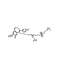 O=S(=O)(CCCCN(CCO)CCCCCCC1=C(c2ccc(F)cc2)CCCc2cc(O)c(F)cc21)CCCC(F)(F)F